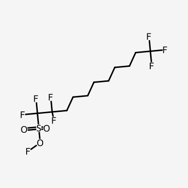 O=S(=O)(OF)C(F)(F)C(F)(F)CCCCCCCCC(F)(F)F